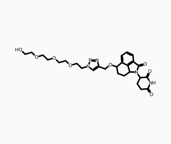 O=C1CCC(N2C(=O)c3cccc4c3C2CCC4OCc2cn(CCOCCOCCOCCO)nn2)C(=O)N1